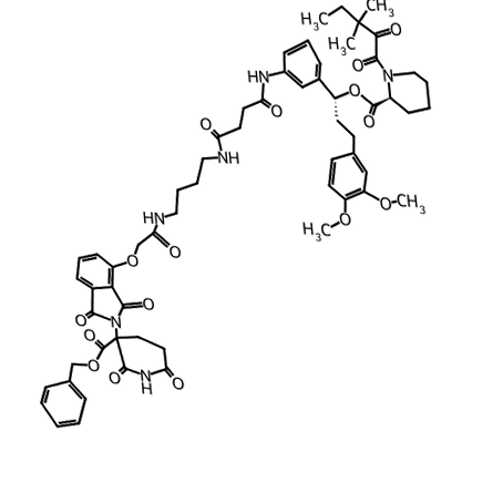 CCC(C)(C)C(=O)C(=O)N1CCCC[C@H]1C(=O)O[C@H](CCc1ccc(OC)c(OC)c1)c1cccc(NC(=O)CCC(=O)NCCCCNC(=O)COc2cccc3c2C(=O)N(C2(C(=O)OCc4ccccc4)CCC(=O)NC2=O)C3=O)c1